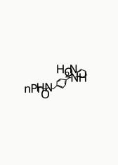 CCCC(=O)NCc1ccc(C(=O)Nc2ccccc2N)cc1